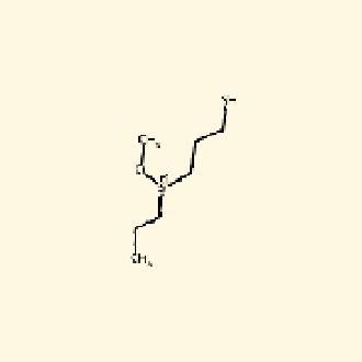 CCC[SiH](CCCS)OC